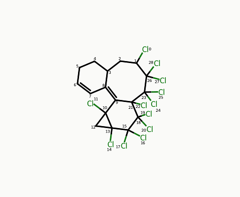 ClC1CC2CCC=C/C2=C2\C3(Cl)CC3(Cl)C(Cl)(Cl)C(Cl)(Cl)C2(Cl)C(Cl)(Cl)C1(Cl)Cl